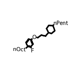 CCCCCCCCc1ccc(OCCCC2CCC(CCCCC)CC2)cc1F